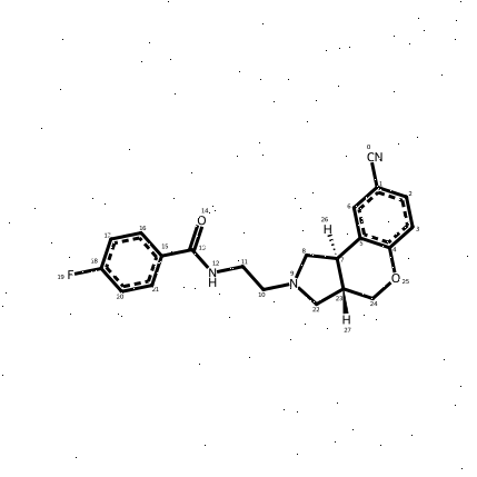 N#Cc1ccc2c(c1)[C@@H]1CN(CCNC(=O)c3ccc(F)cc3)C[C@H]1CO2